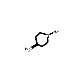 C=C1CCN(C(C)=O)CC1